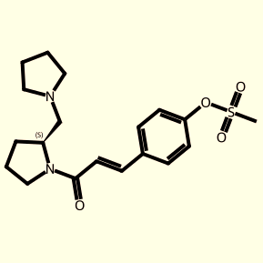 CS(=O)(=O)Oc1ccc(C=CC(=O)N2CCC[C@H]2CN2CCCC2)cc1